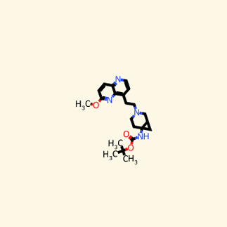 COc1ccc2nccc(CCN3CCC4(NC(=O)OC(C)(C)C)CC4C3)c2n1